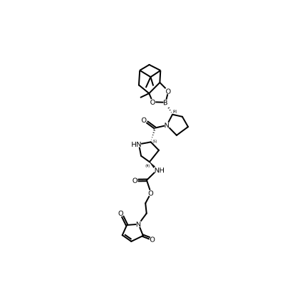 CC12CC3CC(C1OB([C@@H]1CCCN1C(=O)[C@@H]1C[C@@H](NC(=O)OCCN4C(=O)C=CC4=O)CN1)O2)C3(C)C